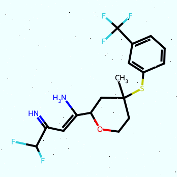 CC1(Sc2cccc(C(F)(F)F)c2)CCOC(/C(N)=C/C(=N)C(F)F)C1